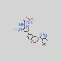 C=C(NC(=O)O)Nc1ncc(-c2ccc3c(c2)CN(c2ncnc4c2CC(C)(C)CC4)CCO3)cc1N